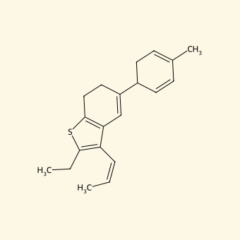 C/C=C\c1c(CC)sc2c1C=C(C1C=CC(C)=CC1)CC2